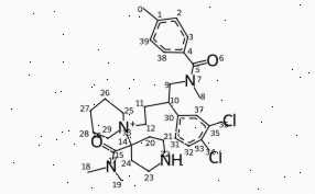 Cc1ccc(C(=O)N(C)CC(CC[N+]2(C3(C(=O)N(C)C)CCNCC3)CCCCC2)c2ccc(Cl)c(Cl)c2)cc1